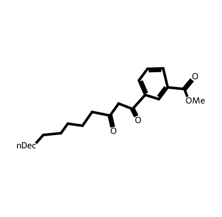 CCCCCCCCCCCCCCCC(=O)CC(=O)c1cccc(C(=O)OC)c1